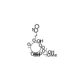 CO[C@]1(C)C[C@@H](C)C(=O)[C@H](C)[C@@H](OC/C=C/c2cnc3ccccc3c2)[C@](C)(O)[C@@H](I)OC(=O)[C@H](C)[C@@H](O[C@H]2C[C@@](C)(OC)[C@@H](O)[C@H](C)O2)[C@H](C)C1C(C)(C)C